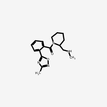 CNCC1CCCCN1C(=O)c1ccccc1-c1nc(C)no1